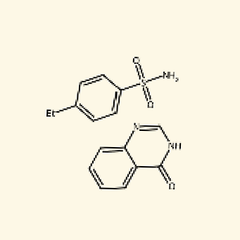 CCc1ccc(S(N)(=O)=O)cc1.O=c1[nH]cnc2ccccc12